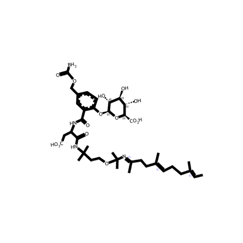 BC(=O)OCc1ccc(O[C@@H]2O[C@H](C(=O)O)[C@@H](O)[C@H](O)[C@H]2O)c(C(=O)NC(CC(=O)O)C(=O)NC(C)(C)CCOC(C)(C)/N=C(\C)CC/C(C)=C/CC/C(C)=C/C)c1